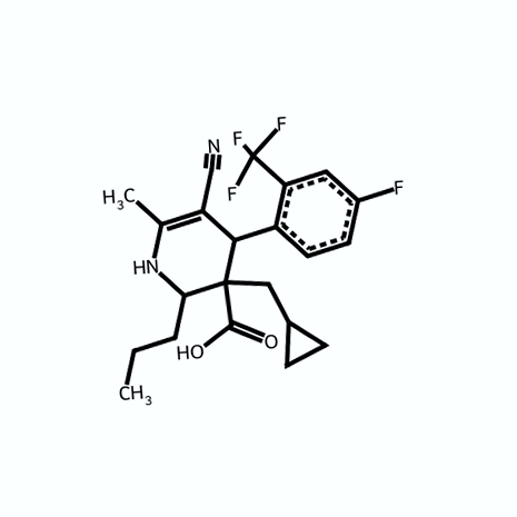 CCCC1NC(C)=C(C#N)C(c2ccc(F)cc2C(F)(F)F)C1(CC1CC1)C(=O)O